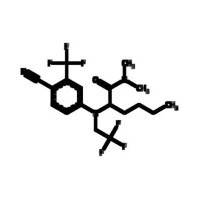 CCCCC(C(=O)N(C)C)N(CC(F)(F)F)c1ccc(C#N)c(C(F)(F)F)c1